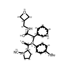 CC(C)(C)c1ccc(N(C(=O)[C@H]2CCCN2C#N)C(C(=O)NCC2COC2)c2cccnc2)cc1